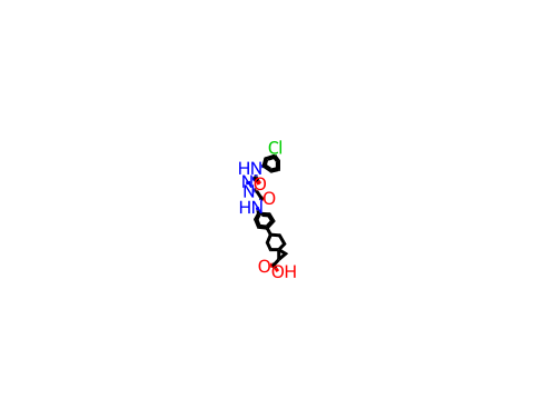 O=C(Nc1ccc(C2CCC3(CC2)CC3C(=O)O)cc1)c1nnc(Nc2cccc(Cl)c2)o1